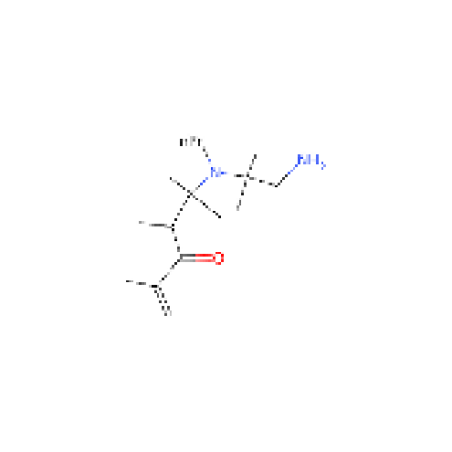 C=C(C)C(=O)C(C)C(C)(C)N(CCC)C(C)(C)CN